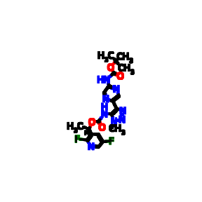 C[C@@H](OC(=O)Nc1c(-c2cnc(NC(=O)OC(C)(C)C)cn2)nnn1C)c1cc(F)cnc1F